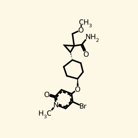 COCC1(C(N)=O)CC1[C@H]1CC[C@H](Oc2cc(=O)n(C)cc2Br)CC1